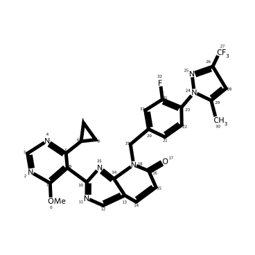 COc1ncnc(C2CC2)c1-c1ncc2ccc(=O)n(Cc3ccc(-n4nc(C(F)(F)F)cc4C)c(F)c3)c2n1